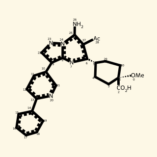 CO[C@]1(C(=O)O)CC[C@H](c2nc3c(-c4ccc(-c5ccccc5)nc4)cnn3c(N)c2C(C)=O)CC1